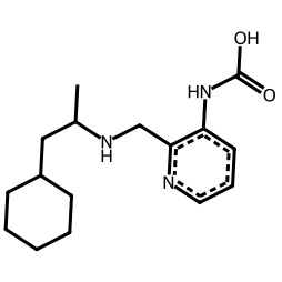 CC(CC1CCCCC1)NCc1ncccc1NC(=O)O